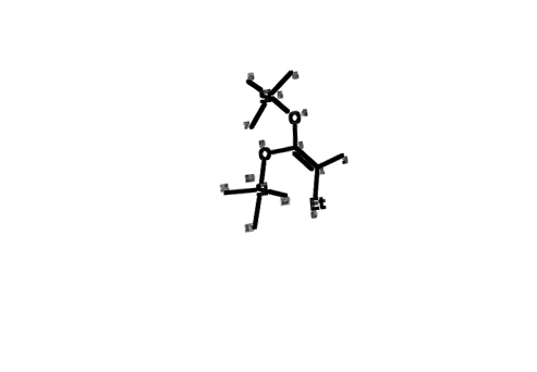 CCC(C)=C(O[Si](C)(C)C)O[Si](C)(C)C